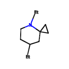 CCC1CCN(CC)C2(CC2)C1